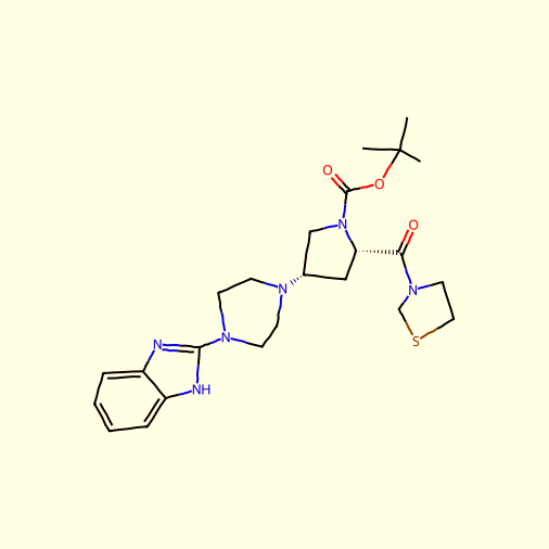 CC(C)(C)OC(=O)N1C[C@@H](N2CCN(c3nc4ccccc4[nH]3)CC2)C[C@H]1C(=O)N1CCSC1